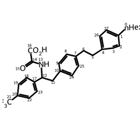 CCCCCCc1ccc(CCc2ccc(CC(NC(=O)C(=O)O)c3ccc(C(F)(F)F)cc3)cc2)cc1